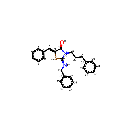 O=C1C(=Cc2ccccc2)SC(=NCc2ccccc2)N1CCCc1ccccc1